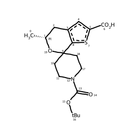 C[C@@H]1Cc2cc(C(=O)O)sc2C2(CCN(C(=O)OC(C)(C)C)CC2)O1